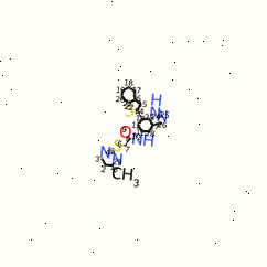 Cc1ccnc(SCC(=O)Nc2cc(-c3cc4ccccc4s3)c3[nH]ncc3c2)n1